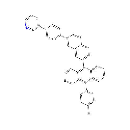 CCc1ccc(-c2c3ccccc3c(-c3ccc4ccc(-c5ccc(-c6cccnc6)cc5)cc4c3)c3ccccc23)cc1